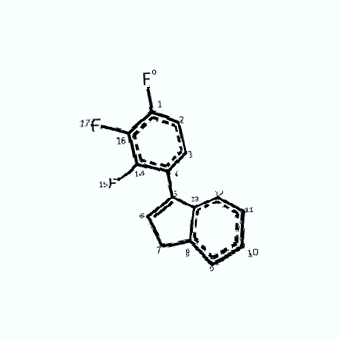 Fc1ccc(C2=CCc3ccccc32)c(F)c1F